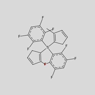 CC1=[C]([Ti]([C]2=C(C)C=CC2)([c]2c(F)c(F)cc(F)c2F)[c]2c(F)c(F)cc(F)c2F)CC=C1